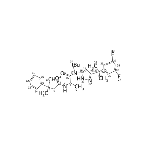 CC(NC(=O)CC(C)(C)c1ccccc1)C(=O)N(c1cc(C(C)(C)c2cc(F)cc(F)c2)n[nH]1)C(C)(C)C